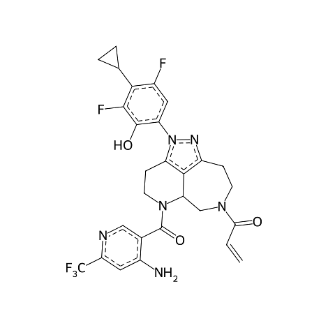 C=CC(=O)N1CCc2nn(-c3cc(F)c(C4CC4)c(F)c3O)c3c2C(C1)N(C(=O)c1cnc(C(F)(F)F)cc1N)CC3